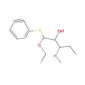 CCOC(Sc1ccccc1)C(O)C(CC)OC